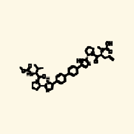 C=CC[C@@H](C(=O)N1CCC[C@H]1c1ncc(-c2ccc(-c3ccc(-c4cnc(C5CCCN5C(=O)[C@@H](NC(=O)OC)C(C)C)[nH]4)cc3)cc2)[nH]1)N(C)C(=O)O